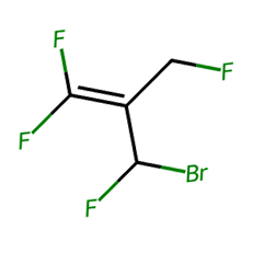 FCC(=C(F)F)C(F)Br